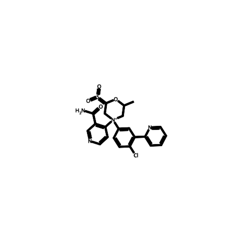 CC1C[N+](c2ccc(Cl)c(-c3ccccn3)c2)(c2ccncc2C(N)=O)CC(=S(=O)=O)O1